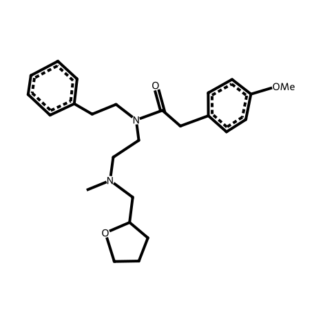 COc1ccc(CC(=O)N(CCc2ccccc2)CCN(C)CC2CCCO2)cc1